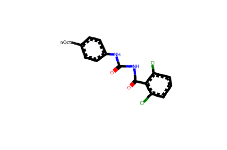 CCCCCCCCc1ccc(NC(=O)NC(=O)c2c(Cl)cccc2Cl)cc1